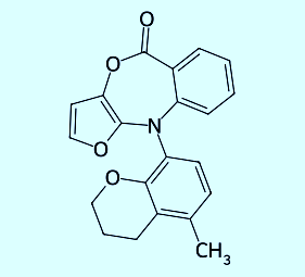 Cc1ccc(N2c3ccccc3C(=O)Oc3ccoc32)c2c1CCCO2